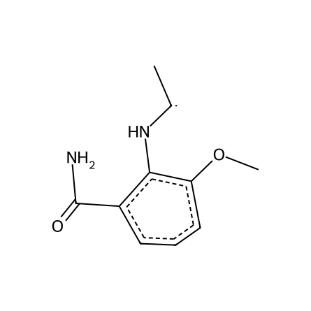 C[CH]Nc1c(OC)cccc1C(N)=O